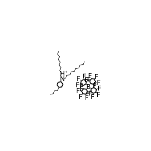 CCCCCCCCCC[NH+](CCCCCCCCCC)c1ccc(CCCC)cc1.Fc1c(F)c(F)c([B-](c2c(F)c(F)c(F)c(F)c2F)(c2c(F)c(F)c(F)c(F)c2F)c2c(F)c(F)c(F)c(F)c2F)c(F)c1F